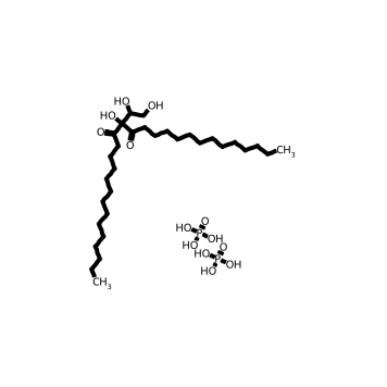 CCCCCCCCCCCCCC(=O)C(O)(C(=O)CCCCCCCCCCCCC)C(O)CO.O=P(O)(O)O.O=P(O)(O)O